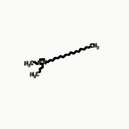 CCCCCCCCCCCCCCCCCCN1C=CN(CCC)C1CCCC